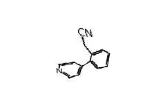 N#CCc1ccccc1-c1ccncc1